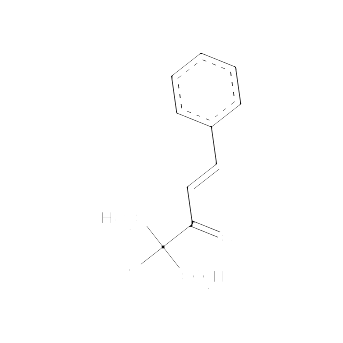 CC(C(=O)O)(C(=O)O)C(=O)/C=C/c1ccccc1